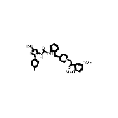 COc1ccc(OC)c(C(=O)CN2CCC(Cc3ccccc3NC(=O)Nc3cc(C(C)(C)C)nn3-c3ccc(C)cc3)CC2)c1